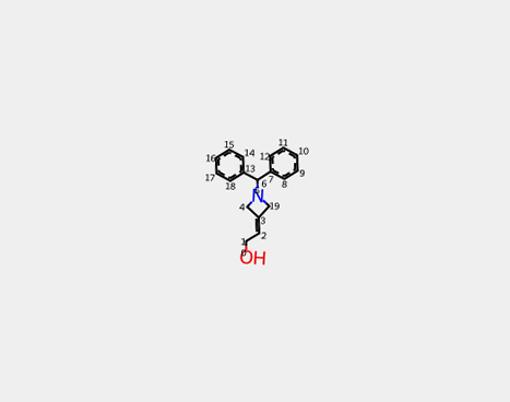 OCC=C1CN(C(c2ccccc2)c2ccccc2)C1